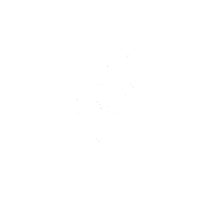 CCOC(=O)Nc1ccc(C(C)C)c(NC(=O)c2c[nH]c3ccccc3c2=O)c1